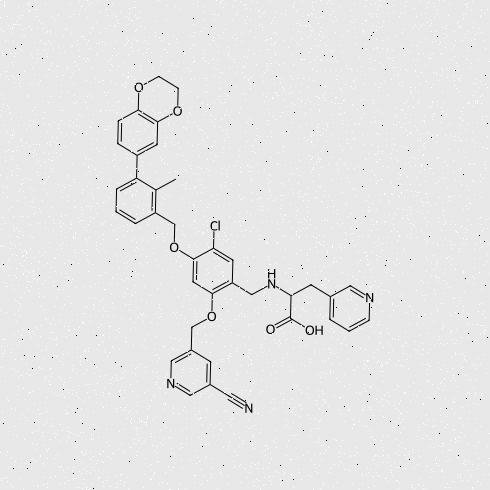 Cc1c(COc2cc(OCc3cncc(C#N)c3)c(CNC(Cc3cccnc3)C(=O)O)cc2Cl)cccc1-c1ccc2c(c1)OCCO2